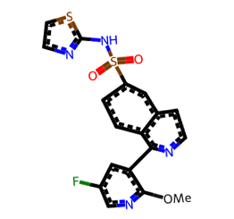 COc1ncc(F)cc1-c1nccc2cc(S(=O)(=O)Nc3nccs3)ccc12